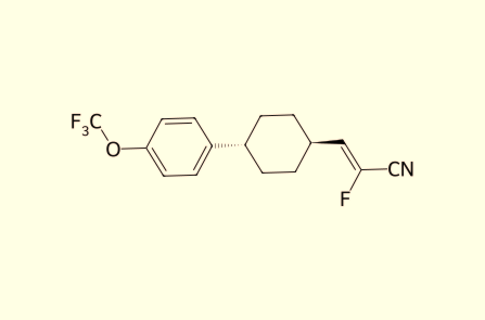 N#CC(F)=C[C@H]1CC[C@H](c2ccc(OC(F)(F)F)cc2)CC1